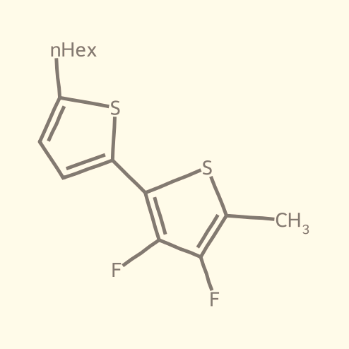 CCCCCCc1ccc(-c2sc(C)c(F)c2F)s1